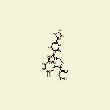 CC(C)(C)OC(=O)N1CCn2c(-c3ccc(C4CCC4)cc3)nc3c2C1CNCC3